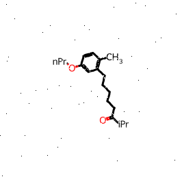 CCCOc1ccc(C)c(CCCCCC(=O)C(C)C)c1